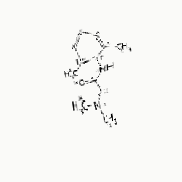 Cc1cccc(C)c1NC(=O)CN(C)C